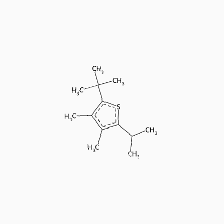 Cc1c(C(C)C)sc(C(C)(C)C)c1C